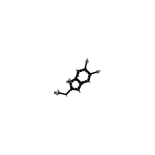 NCc1nc2cc(Cl)c(Cl)cc2[nH]1